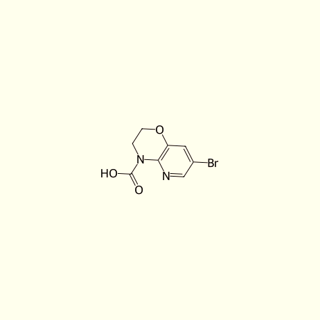 O=C(O)N1CCOc2cc(Br)cnc21